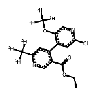 [2H]C([2H])([2H])Oc1cnc(Cl)cc1-c1cc(C([2H])([2H])[2H])ncc1C(=O)OCC